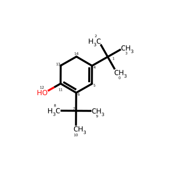 CC(C)(C)C1=CC(C(C)(C)C)=C(O)CC1